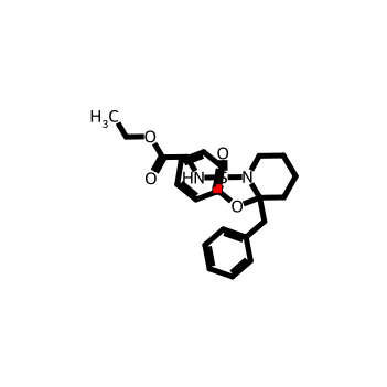 CCOC(=O)CNS(=O)(=O)N1CCCCC1(Cc1ccccc1)Oc1ccccc1